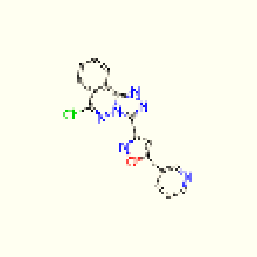 Clc1nn2c(-c3cc(-c4cccnc4)on3)nnc2c2ccccc12